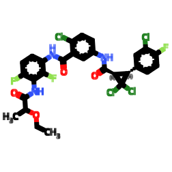 CCOC(C)C(=O)Nc1c(F)ccc(NC(=O)c2cc(NC(=O)[C@H]3[C@H](c4ccc(F)c(Cl)c4)C3(Cl)Cl)ccc2Cl)c1F